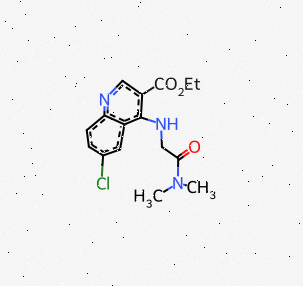 CCOC(=O)c1cnc2ccc(Cl)cc2c1NCC(=O)N(C)C